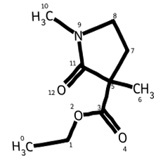 CCOC(=O)C1(C)CCN(C)C1=O